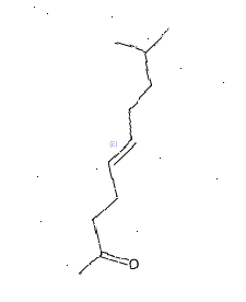 CC(=O)CC/C=C/CCC(C)C